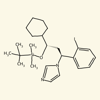 CC(C)(C)[Si](C)(C)O[C@@H](C[C@@H](c1ccccc1I)n1ccnc1)C1CCCCC1